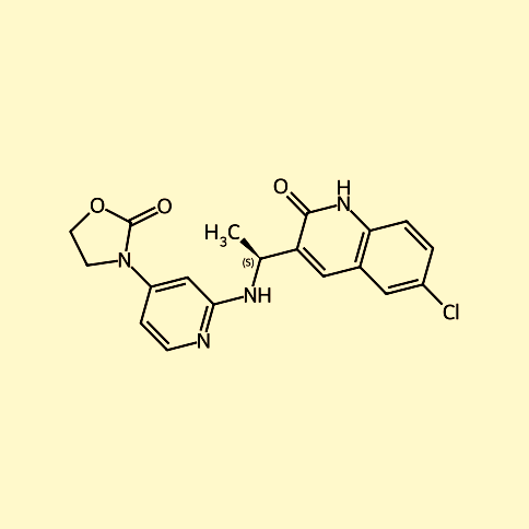 C[C@H](Nc1cc(N2CCOC2=O)ccn1)c1cc2cc(Cl)ccc2[nH]c1=O